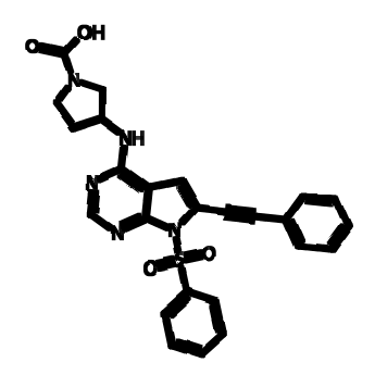 O=C(O)N1CCC(Nc2ncnc3c2cc(C#Cc2ccccc2)n3S(=O)(=O)c2ccccc2)C1